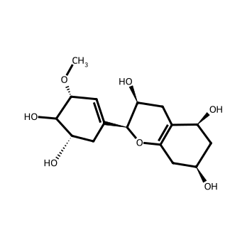 CO[C@@H]1C=C([C@@H]2OC3=C(C[C@@H]2O)[C@@H](O)C[C@@H](O)C3)C[C@H](O)C1O